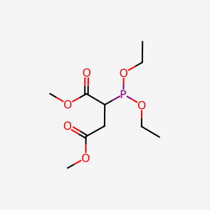 CCOP(OCC)C(CC(=O)OC)C(=O)OC